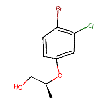 C[C@@H](CO)Oc1ccc(Br)c(Cl)c1